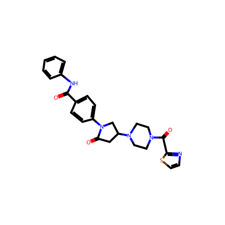 O=C(Nc1ccccc1)c1ccc(N2CC(N3CCN(C(=O)c4nccs4)CC3)CC2=O)cc1